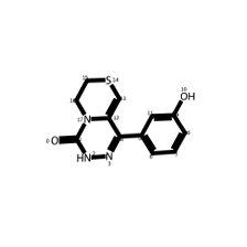 O=C1NN=C(c2cccc(O)c2)C2=CSCCN12